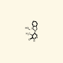 Cc1c(N2Cc3ccccc3[C@H]2CO)cn[nH]c1=O